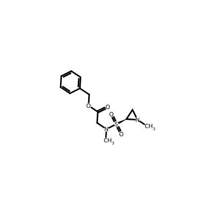 CN1C[C@@H]1S(=O)(=O)N(C)CC(=O)OCc1ccccc1